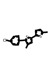 Cc1ccc(-c2cc(C)c(-c3ccc(Cl)cc3)s2)s1